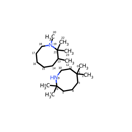 CC1(C)CCCC(C)(C)NCC1.CC1CCCCCN(C)C1(C)C